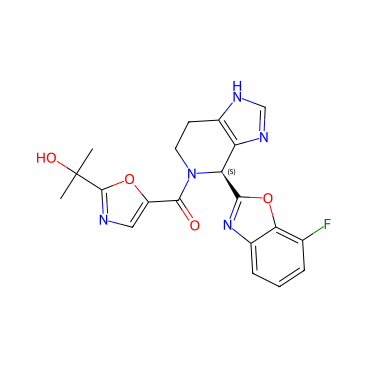 CC(C)(O)c1ncc(C(=O)N2CCc3[nH]cnc3[C@H]2c2nc3cccc(F)c3o2)o1